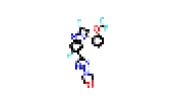 Fc1cc2nc3n(c2cc1-c1cnc(N2CCOCC2)nc1)[C@@H](c1ccccc1OC(F)F)CC3F